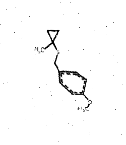 COc1ccc(CSC2(C)CC2)cc1